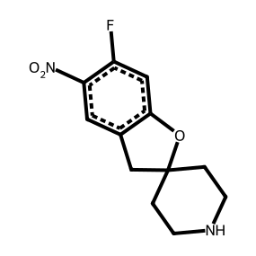 O=[N+]([O-])c1cc2c(cc1F)OC1(CCNCC1)C2